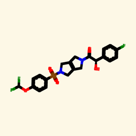 O=C([C@H](O)c1ccc(F)cc1)N1CC2=C(C1)CN(S(=O)(=O)c1ccc(OC(F)F)cc1)C2